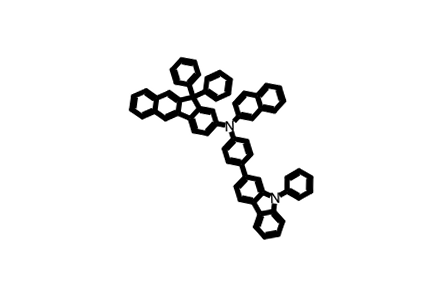 c1ccc(-n2c3ccccc3c3ccc(-c4ccc(N(c5ccc6c(c5)C(c5ccccc5)(c5ccccc5)c5cc7ccccc7cc5-6)c5ccc6ccccc6c5)cc4)cc32)cc1